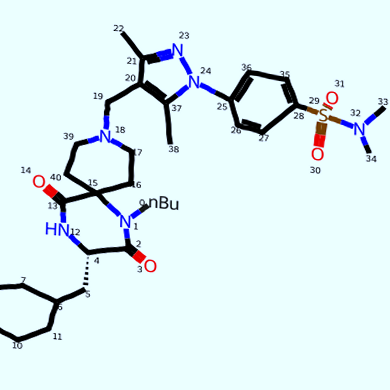 CCCCN1C(=O)[C@H](CC2CCCCC2)NC(=O)C12CCN(Cc1c(C)nn(-c3ccc(S(=O)(=O)N(C)C)cc3)c1C)CC2